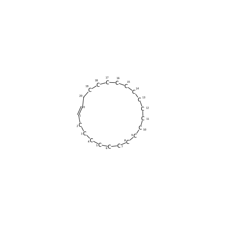 [C]1=C/CCCCCCCCCCCCCCCCCCC/1